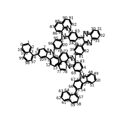 c1ccc2c(-c3ccc4c(c3)c3ccccc3n4-c3ccc(N(c4ccc(-c5nc6ccccc6nc5-c5ccc(N(c6ccc(-n7c8ccccc8c8cc(-c9cccc%10ccccc9%10)ccc87)cc6)c6cccc7cccnc67)cc5)cc4)c4cccc5cccnc45)cc3)cccc2c1